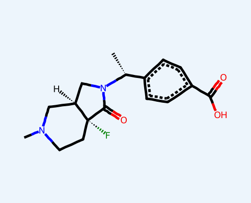 C[C@H](c1ccc(C(=O)O)cc1)N1C[C@@H]2CN(C)CC[C@]2(F)C1=O